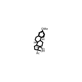 CCC12CC[C@@H]3c4ccc(OC)cc4CC[C@H]3[C@@H]1CC[C@@]2(O)C(C)=O